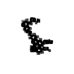 COc1ccc(C(=O)N(CC(C)(C)C)c2cccc(C)n2)c(N2CCC(COc3cc4c(cn3)OCCC4CC(=O)O)CC2)c1